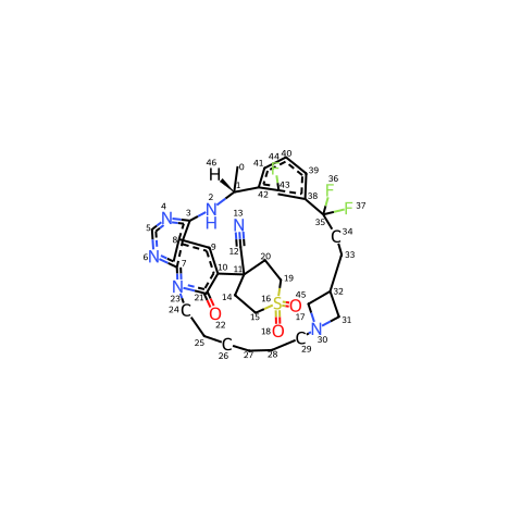 C[C@H]1Nc2ncnc3c2cc(C2(C#N)CCS(=O)(=O)CC2)c(=O)n3CCCCCCN2CC(CCC(F)(F)c3cccc1c3F)C2